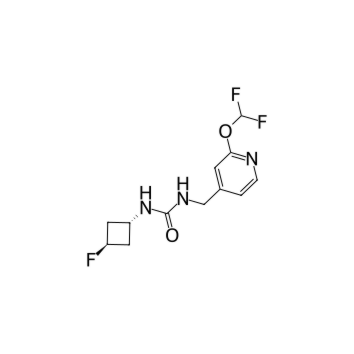 O=C(NCc1ccnc(OC(F)F)c1)N[C@H]1C[C@H](F)C1